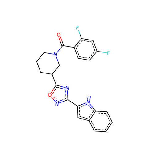 O=C(c1ccc(F)cc1F)N1CCCC(c2nc(-c3cc4ccccc4[nH]3)no2)C1